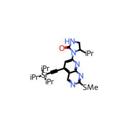 CSc1ncc2c(C#C[Si](C(C)C)(C(C)C)C(C)C)cc(N3C(=O)NCC3C(C)C)nc2n1